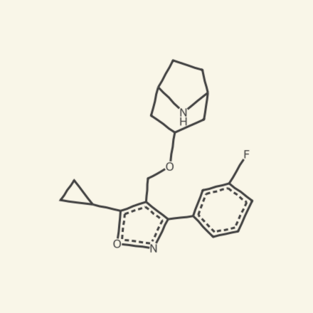 Fc1cccc(-c2noc(C3CC3)c2COC2CC3CCC(C2)N3)c1